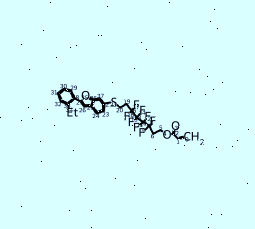 C=CC(=O)OCCC(F)(F)C(F)(F)C(F)(F)C(F)(F)CCSc1ccc2cc(-c3ccccc3CC)oc2c1